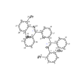 CC(C)c1cccc(C(C)(C)C)c1/N=C(\c1ccccc1)c1cccc(/C(=N/c2c(C(C)C)cccc2C(C)(C)C)c2ccccc2)n1